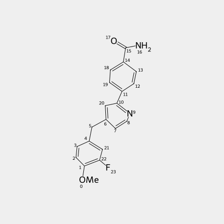 COc1ccc(Cc2ccnc(-c3ccc(C(N)=O)cc3)c2)cc1F